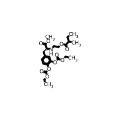 CCOC(=O)Oc1ccc(C[C@H](NCCOC(=O)C(C)CC)C(=O)OC)cc1OC(=O)OCC